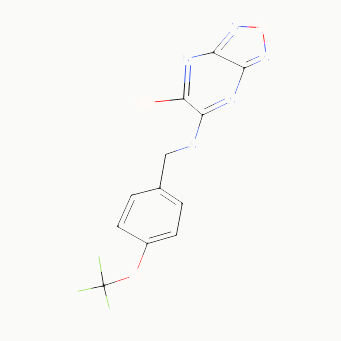 Oc1nc2nonc2nc1NCc1ccc(OC(F)(F)F)cc1